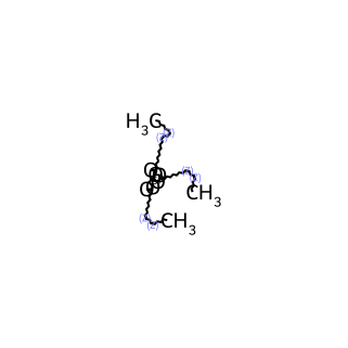 CCCC/C=C\C/C=C\CCCCCCCC(=O)OC[C@H](COC(=O)CCCCCCCCC/C=C\C/C=C\CCCCC)OC(=O)CCCCCCC/C=C\C/C=C\CCCC